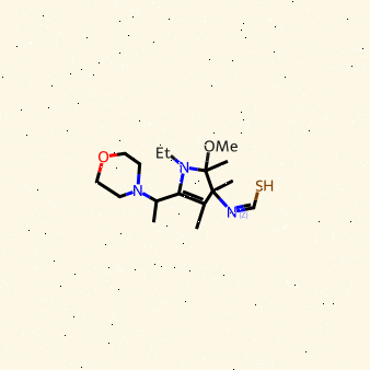 CCN1C(C(C)N2CCOCC2)=C(C)C(C)(/N=C\S)C1(C)OC